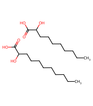 CCCCCCCCC(O)C(=O)O.CCCCCCCCCC(O)C(=O)O